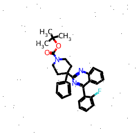 CC(C)(C)OC(=O)N1CCC(c2ccccc2)(c2nc(-c3ccccc3F)c3ccccc3n2)CC1